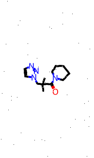 CC(C)(Cn1ccnn1)C(=O)N1CCCCC1